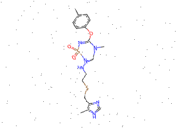 Cc1ccc(OC2=NS(=O)(=O)N(NCCSCc3nc[nH]c3C)CN2C)cc1